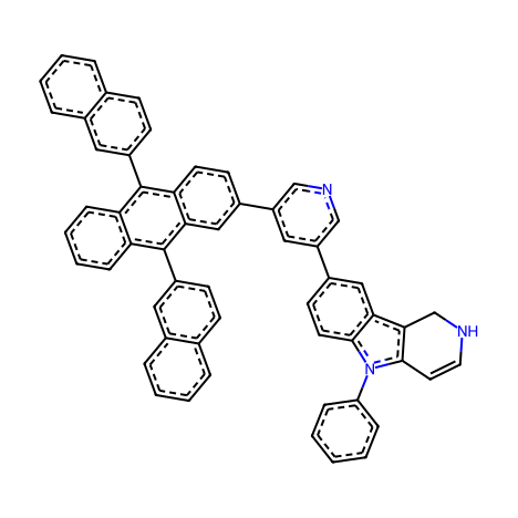 C1=Cc2c(c3cc(-c4cncc(-c5ccc6c(-c7ccc8ccccc8c7)c7ccccc7c(-c7ccc8ccccc8c7)c6c5)c4)ccc3n2-c2ccccc2)CN1